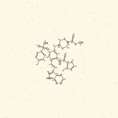 Cc1ccc(S(=O)(=O)O)cc1.Cc1ccsc1C(=O)Nc1cc(CN2CCN(C(=O)CO)CC2)ccc1/C=C/c1n[nH]c2ccccc12